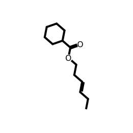 CCC=CCCOC(=O)C1CCCCC1